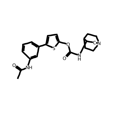 CC(=O)Nc1cccc(-c2ccc(OC(=O)NC3CN4CCC3CC4)s2)c1